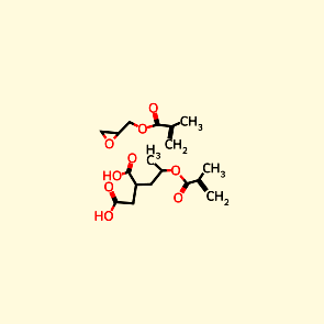 C=C(C)C(=O)OC(C)CC(CC(=O)O)C(=O)O.C=C(C)C(=O)OCC1CO1